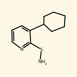 NSc1ncccc1C1CCCCC1